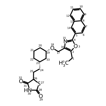 CCc1oc(-c2ccc3ccccc3c2)nc1CO[C@H]1CCC[C@@H](CCC2SC(=O)NC2=O)C1